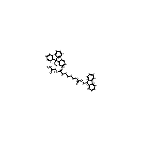 NC(=O)[C@H](CSC(c1ccccc1)(c1ccccc1)c1ccccc1)NC(=O)CCCCCNC(=O)OCC1c2ccccc2-c2ccccc21